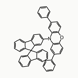 c1ccc(-c2ccc3c(c2)N(c2ccc4c(c2)C2(c5ccccc5-c5ccccc52)c2ccccc2-4)c2cc(-c4ccccc4)ccc2O3)cc1